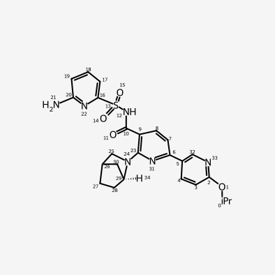 CC(C)Oc1ccc(-c2ccc(C(=O)NS(=O)(=O)c3cccc(N)n3)c(N3CC4CC[C@H]3C4)n2)cn1